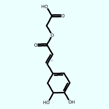 O=C(O)COC(=O)/C=C/C1=CC=C(O)C(O)C1